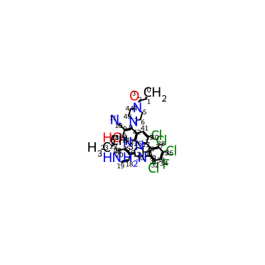 C=CC(=O)N1CCN(C2=C(C#N)C(O)N(C3=C(C)C=CN[C@@H]3C(C)C)c3nc(-c4c(N)c(Cl)c(F)c(Cl)c4Cl)c(Cl)cc32)CC1